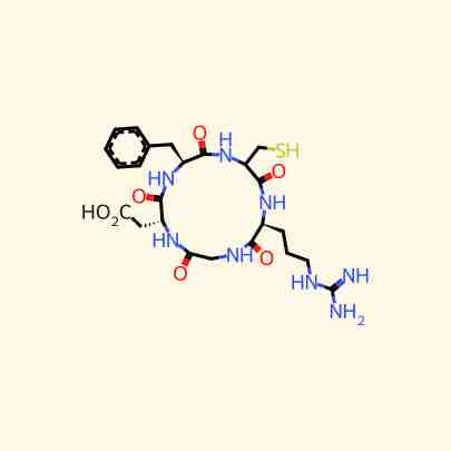 N=C(N)NCCC[C@@H]1NC(=O)C(CS)NC(=O)[C@H](Cc2ccccc2)NC(=O)[C@@H](CC(=O)O)NC(=O)CNC1=O